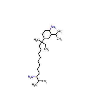 CCC(C)(CCCCCCCCC(N)C(C)C)C1CCC(N)C(C(C)C)C1